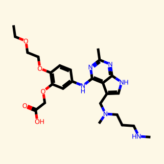 CCOCCOc1ccc(Nc2nc(C)nc3[nH]cc(CN(C)CCCNC)c23)cc1OCC(=O)O